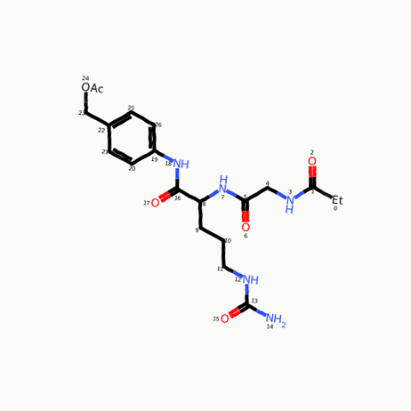 CCC(=O)NCC(=O)NC(CCCNC(N)=O)C(=O)Nc1ccc(COC(C)=O)cc1